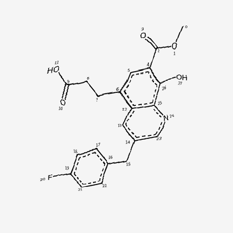 COC(=O)c1cc(CCC(=O)O)c2cc(Cc3ccc(F)cc3)cnc2c1O